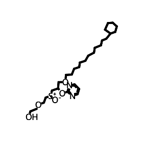 [O-][S+](CCOCCO)CC(COCCCCCCCCCCCCC1CCCCC1)Oc1ncccn1